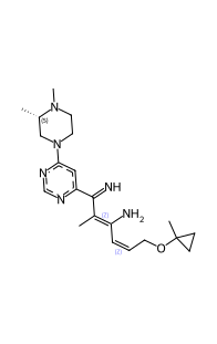 C/C(C(=N)c1cc(N2CCN(C)[C@@H](C)C2)ncn1)=C(N)\C=C/COC1(C)CC1